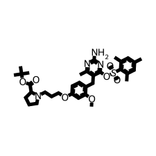 COc1cc(OCCCN2CCCC2C(=O)OC(C)(C)C)ccc1Cc1c(C)nc(N)nc1OS(=O)(=O)c1c(C)cc(C)cc1C